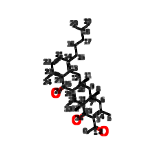 CC(=O)C1=C(C)C[C@@]2(C)C[C@@]3(C)Cc4c(CCCC(C)C)ccc(C)c4C(=O)C3=C(C)[C@@]2(C)C1=O